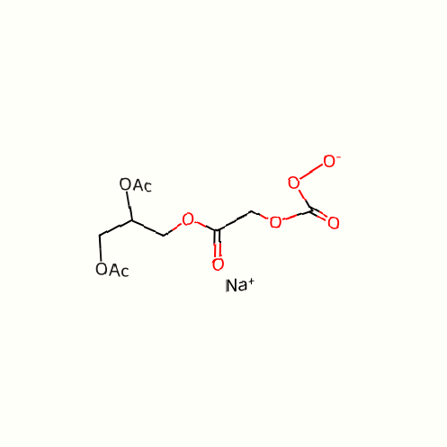 CC(=O)OCC(COC(=O)COC(=O)O[O-])OC(C)=O.[Na+]